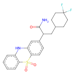 NC(=O)C(CC1CCC(F)(F)CC1)c1ccc2c(c1)Nc1ccccc1S2(=O)=O